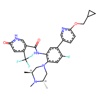 C[C@H]1CN(c2cc(F)c(-c3ccc(OCC4CC4)nc3)cc2NC(=O)c2c[nH]c(=O)cc2C(F)(F)F)C[C@H](C)N1C